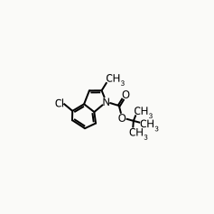 Cc1cc2c(Cl)cccc2n1C(=O)OC(C)(C)C